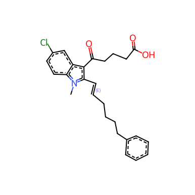 Cn1c(/C=C/CCCCc2ccccc2)c(C(=O)CCCC(=O)O)c2cc(Cl)ccc21